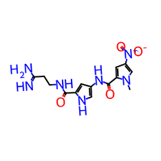 Cn1cc([N+](=O)[O-])cc1C(=O)Nc1c[nH]c(C(=O)NCCC(=N)N)c1